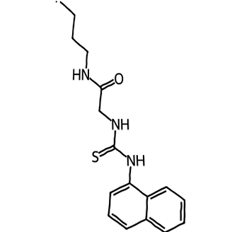 [CH2]CCCNC(=O)CNC(=S)Nc1cccc2ccccc12